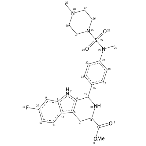 COC(=O)C1Cc2c([nH]c3cc(F)ccc23)C(c2ccc(N(C)S(=O)(=O)N3CCN(C)CC3)cc2)N1